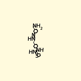 N=C(Nc1ccc(CCNC=Nc2cccc(CN)c2)cc1)c1cccs1